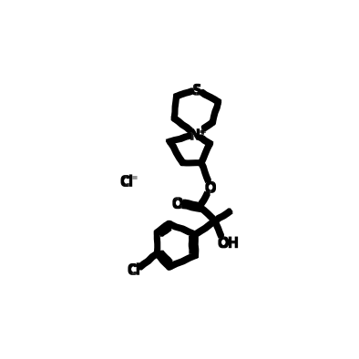 CC(O)(C(=O)OC1CC[N+]2(CCSCC2)C1)c1ccc(Cl)cc1.[Cl-]